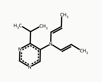 CC=CN(C=CC)c1cn[c]nc1C(C)C